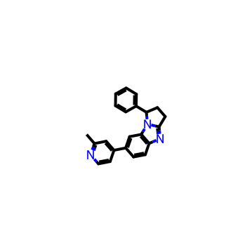 Cc1cc(-c2ccc3nc4n(c3c2)C(c2ccccc2)CC4)ccn1